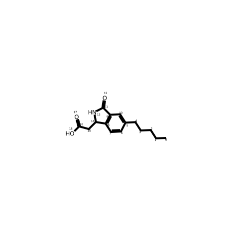 CCCCCc1ccc2c(c1)C(=O)NC2CC(=O)O